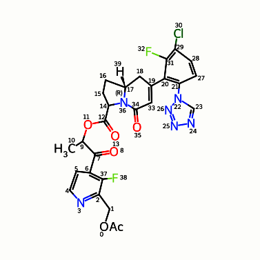 CC(=O)OCc1nccc(C(=O)C(C)OC(=O)C2CC[C@@H]3CC(c4c(-n5cnnn5)ccc(Cl)c4F)=CC(=O)N23)c1F